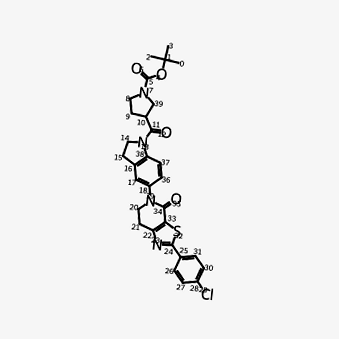 CC(C)(C)OC(=O)N1CCC(C(=O)N2CCc3cc(N4CCc5nc(-c6ccc(Cl)cc6)sc5C4=O)ccc32)C1